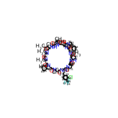 CC[C@H](C)[C@@H]1NC(=O)[C@H](CC(C)C)N(C)C(=O)C[C@@H](C(=O)N2CCCC2)N(C)C(=O)[C@H](C2CCCCC2)N(C)C(=O)C2(CCCC2)NC(=O)[C@@H]2CCCN2C(=O)[C@H](CCc2ccc(C(F)(F)F)c(Cl)c2)NC(=O)CN(C)C(=O)[C@H](CC2CCCCC2)N(C)C(=O)CN(C)C(=O)CN(C)C1=O